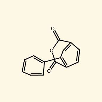 O=c1oc(=O)c2ccc1cc2-c1ccccc1